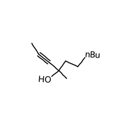 CC#CC(C)(O)CCCCCC